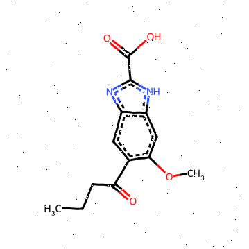 CCCC(=O)c1cc2nc(C(=O)O)[nH]c2cc1OC